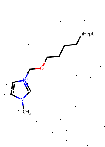 CCCCCCCCCCCOC[n+]1ccn(C)c1